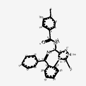 Cc1ccc(C(=O)NC2N=C(c3ccccc3)c3ccccc3-n3c(C)nnc32)cc1